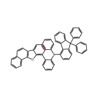 c1ccc(N(c2ccccc2-c2cccc3c2oc2c4ccccc4ccc32)c2cccc3c2-c2ccccc2C3(c2ccccc2)c2ccccc2)cc1